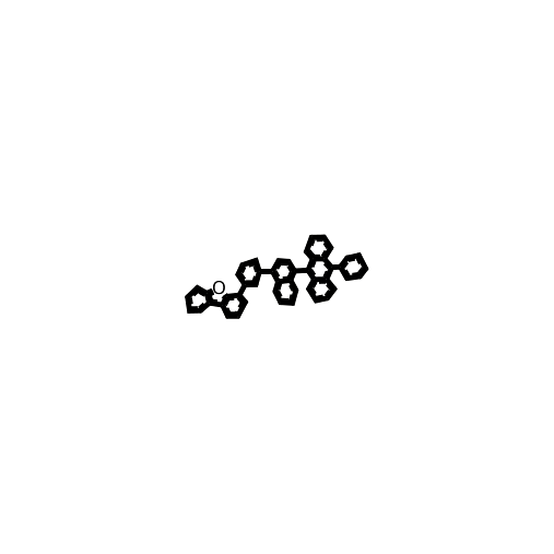 c1ccc(-c2c3ccccc3c(-c3ccc(-c4cccc(-c5cccc6c5oc5ccccc56)c4)c4ccccc34)c3ccccc23)cc1